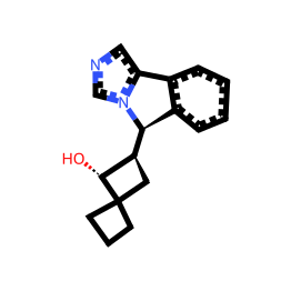 O[C@@H]1[C@@H]([C@@H]2c3ccccc3-c3cncn32)CC12CCC2